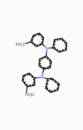 CCOC(=O)c1cccc(N(c2ccccc2)c2ccc(N(c3ccccc3)c3cccc(C(=O)OCC)c3)cc2)c1